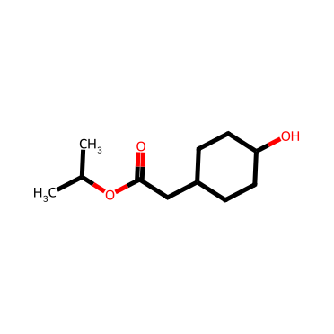 CC(C)OC(=O)CC1CCC(O)CC1